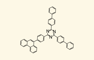 c1ccc(-c2ccc(-c3nc(-c4ccc(-c5ccccc5)cc4)nc(-c4ccc(-c5cc6ccccc6c6ccccc56)cc4)n3)cc2)cc1